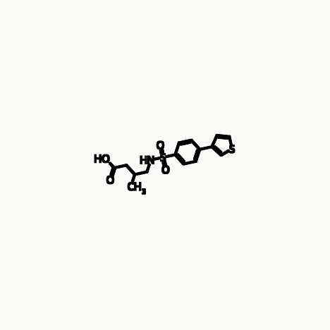 CC(CNS(=O)(=O)c1ccc(-c2ccsc2)cc1)CC(=O)O